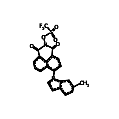 Cc1ccc2ccn(-c3ccc4c5c(cccc35)C(=O)N(OS(=O)(=O)C(F)(F)F)C4=O)c2c1